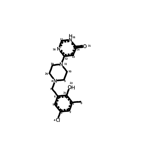 Cc1cc(Cl)cc(CN2CCN(c3cc(=O)[nH]cn3)CC2)c1O